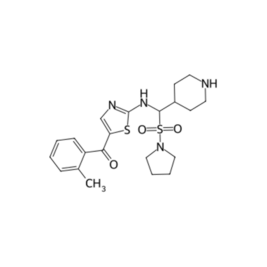 Cc1ccccc1C(=O)c1cnc(NC(C2CCNCC2)S(=O)(=O)N2CCCC2)s1